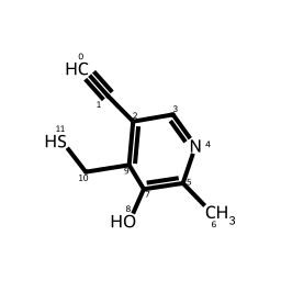 C#Cc1cnc(C)c(O)c1CS